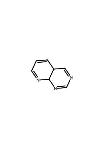 C1=CC2C=NC=NC2N=C1